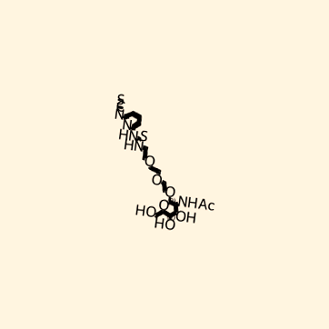 CC(=O)NC1C(O)[C@@H](O)C(CO)O[C@H]1OCCOCCOCCNC(=S)Nc1cccc(N=C=S)n1